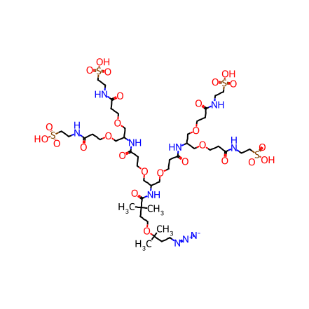 CC(C)(CCN=[N+]=[N-])OCCC(C)(C)C(=O)NC(COCCC(=O)NC(COCCC(=O)NCCS(=O)(=O)O)COCCC(=O)NCCS(=O)(=O)O)COCCC(=O)NC(COCCC(=O)NCCS(=O)(=O)O)COCCC(=O)NCCS(=O)(=O)O